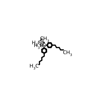 CCCCCCc1ccc([Si](C)(C[SiH](C)C)c2ccc(CCCCCC)cc2)cc1